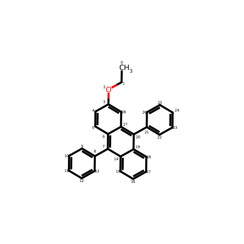 CCOc1ccc2c(-c3ccccc3)c3ccccc3c(-c3ccccc3)c2c1